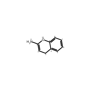 NC1=CCc2ccccc2O1